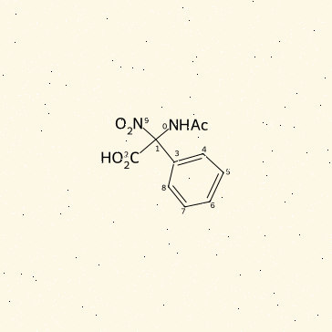 CC(=O)NC(C(=O)O)(c1ccccc1)[N+](=O)[O-]